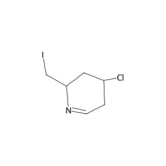 ClC1CC=NC(CI)C1